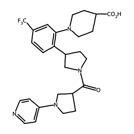 O=C(O)C1CCN(c2cc(C(F)(F)F)ccc2C2CCN(C(=O)C3CCN(c4ccncc4)C3)C2)CC1